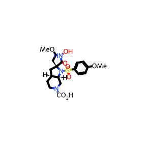 COCC[C@]1(C(=O)NO)C[C@@H]2CCN(C(=O)O)C[C@@H]2N1S(=O)(=O)c1ccc(OC)cc1